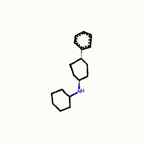 c1ccc([C@H]2CC[C@H](NC3CCCCC3)CC2)cc1